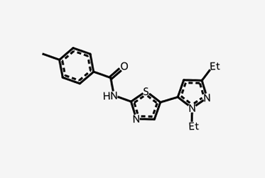 CCc1cc(-c2cnc(NC(=O)c3ccc(C)cc3)s2)n(CC)n1